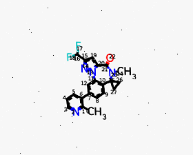 Cc1ncccc1-c1ccc2c(c1)-n1nc(C(F)F)cc1C(=O)N(C)C21CC1